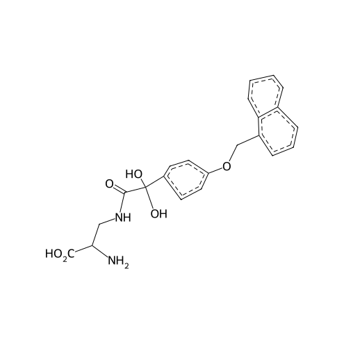 NC(CNC(=O)C(O)(O)c1ccc(OCc2cccc3ccccc23)cc1)C(=O)O